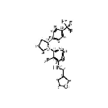 Fc1c(NCC2CCOC2)ncnc1N1CCC[C@@H]1c1ccc(C(F)(F)F)cc1